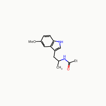 CCC(=O)NC(C)Cc1c[nH]c2ccc(OC)cc12